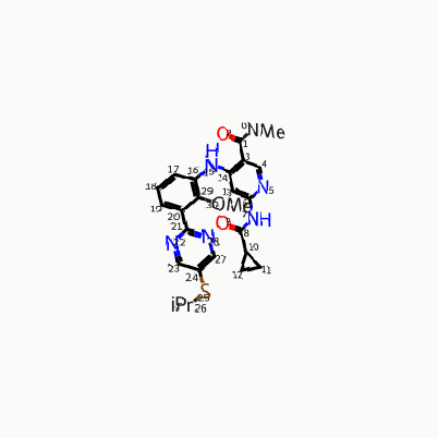 CNC(=O)c1cnc(NC(=O)C2CC2)cc1Nc1cccc(-c2ncc(SC(C)C)cn2)c1OC